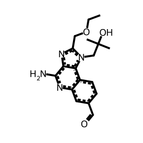 CCOCc1nc2c(N)nc3cc(C=O)ccc3c2n1CC(C)(C)O